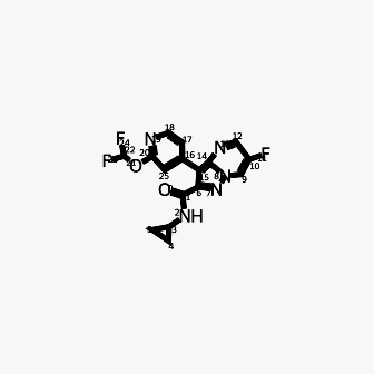 O=C(NC1CC1)c1nn2cc(F)cnc2c1-c1ccnc(OC(F)F)c1